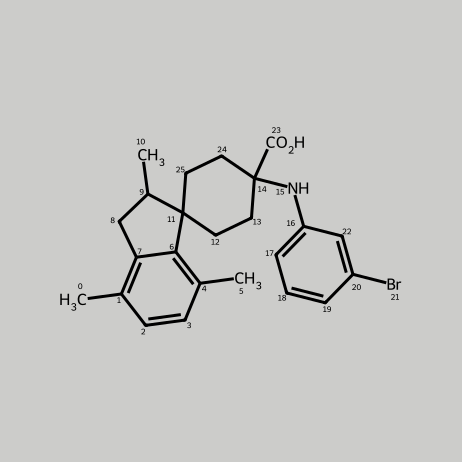 Cc1ccc(C)c2c1CC(C)C21CCC(Nc2cccc(Br)c2)(C(=O)O)CC1